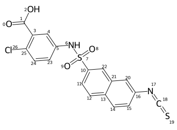 O=C(O)c1cc(NS(=O)(=O)c2ccc3ccc(N=C=S)cc3c2)ccc1Cl